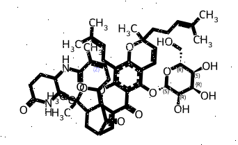 CC(C)=CCCC1(C)C=Cc2c(c(CC=C(C)C)c3c(c2O[C@@H]2O[C@H](CO)[C@@H](O)[C@@H](O)[C@H]2O)C(=O)C2=CC4CC5C(C)(C)OC(C/C=C(/C)C(=O)NC6CCC(=O)NC6=O)(C4=O)C25O3)O1